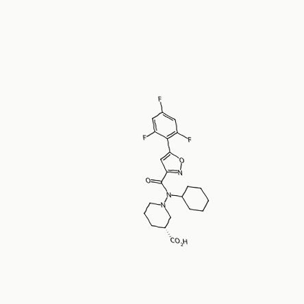 O=C(O)[C@@H]1CCCN(N(C(=O)c2cc(-c3c(F)cc(F)cc3F)on2)C2CCCCC2)C1